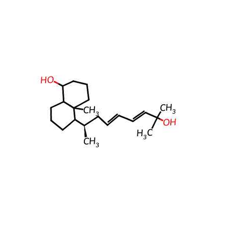 C[C@H](C/C=C/C=C/C(C)(C)O)C1CCCC2C(O)CCCC21C